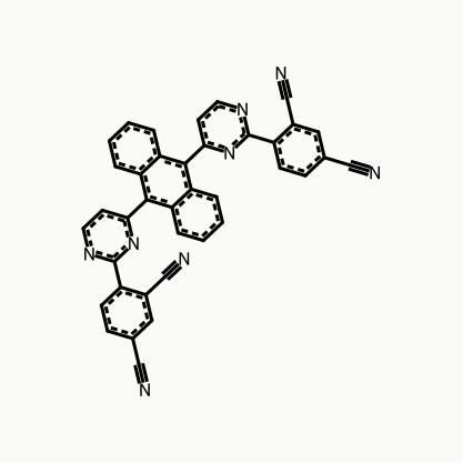 N#Cc1ccc(-c2nccc(-c3c4ccccc4c(-c4ccnc(-c5ccc(C#N)cc5C#N)n4)c4ccccc34)n2)c(C#N)c1